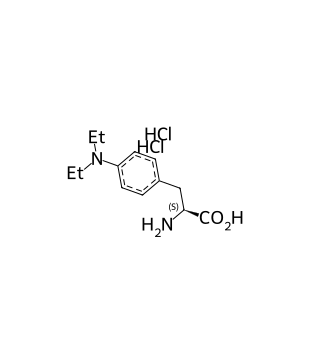 CCN(CC)c1ccc(C[C@H](N)C(=O)O)cc1.Cl.Cl